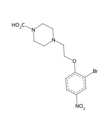 O=C(O)N1CCN(CCOc2ccc([N+](=O)[O-])cc2Br)CC1